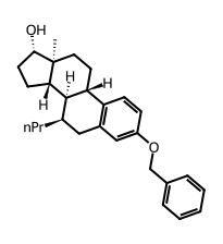 CCC[C@@H]1Cc2cc(OCc3ccccc3)ccc2[C@H]2CC[C@]3(C)[C@@H](O)CC[C@H]3[C@H]12